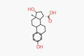 C[C@]12CCC3c4ccc(O)cc4CCC3C1[C@@H](C(=O)O)C[C@@H]2O